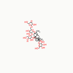 C=C1C[C@@]23CC[C@H]4[C@@](C)(CCC[C@@]4(C)C(=O)OC4OC(CO)C(O)C(O)C4O)[C@@H]2CC[C@]1(OC1OC(COC2OC(CO)C4OC4C2O)C(O)C(O)C1OC1OC(CO)C(O)C(O)C1O)C3